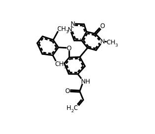 C=CC(=O)Nc1ccc(Oc2c(C)cccc2C)c(-c2cn(C)c(=O)c3cnncc23)c1